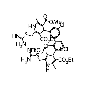 CCOC(=O)C1=C(C)NC(CSC(=N)N)=C(C(=O)OCC)C1c1ccccc1Cl.CCOC(=O)C1=C(CSC(=N)N)NC(C)=C(C(=O)OC)C1c1cccc(Cl)c1.Cl